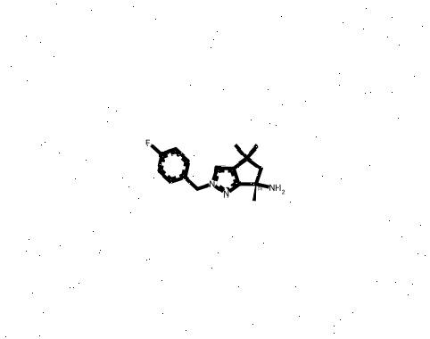 CC1(C)C[C@](C)(N)c2nn(Cc3ccc(F)cc3)cc21